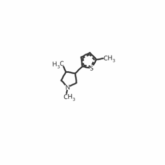 Cc1ccc(C2CN(C)CC2C)s1